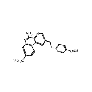 COc1ccc(CCc2cnc3c(N)nc4cc(C(=O)O)ccc4c3c2)cc1